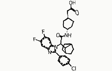 O=C(O)C[C@H]1CC[C@H](NC(=O)C(C2C3CCC2CC3)n2c(-c3ccc(Cl)cc3)nc3cc(F)c(F)cc32)CC1